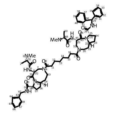 CN[C@@H](C)C(=O)N[C@H]1CN(C(=O)CCCCCCC(=O)N2CC[C@H]3CC[C@@H](C(=O)NC(c4ccccc4)c4ccccc4)N3C(=O)[C@@H](NC(=O)[C@H](C)NC)C2)CC[C@H]2CC[C@@H](C(=O)NCc3ccccc3)N2C1=O